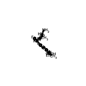 CC[C@@H]([C@H](C)O)n1ncn(-c2ccc(N3CCN(c4ccc(OC[C@@H]5CO[C@@](Cn6c[n+](C(C)OC(=O)NCCCN)cn6)(c6ccc(F)cc6F)C5)cc4)CC3)cc2)c1=O